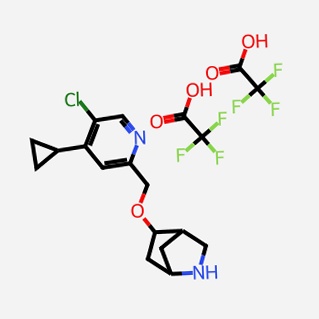 Clc1cnc(COC2CC3CC2CN3)cc1C1CC1.O=C(O)C(F)(F)F.O=C(O)C(F)(F)F